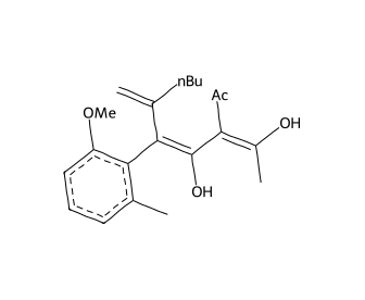 C=C(CCCC)/C(=C(O)\C(C(C)=O)=C(/C)O)c1c(C)cccc1OC